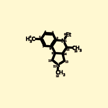 CCN1c2ccc(C)cc2C2CN(C)CC2C1C